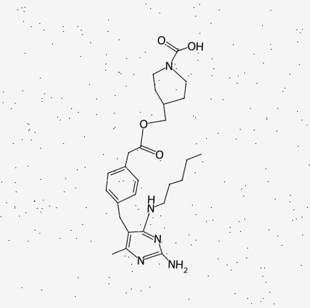 CCCCCNc1nc(N)nc(C)c1Cc1ccc(CC(=O)OCC2CCN(C(=O)O)CC2)cc1